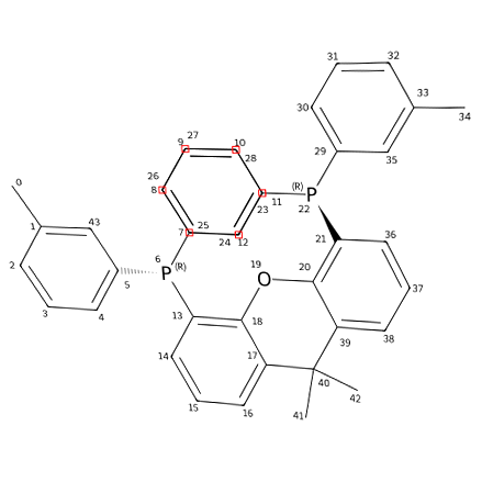 Cc1cccc([P@](c2ccccc2)c2cccc3c2Oc2c([P@@](c4ccccc4)c4cccc(C)c4)cccc2C3(C)C)c1